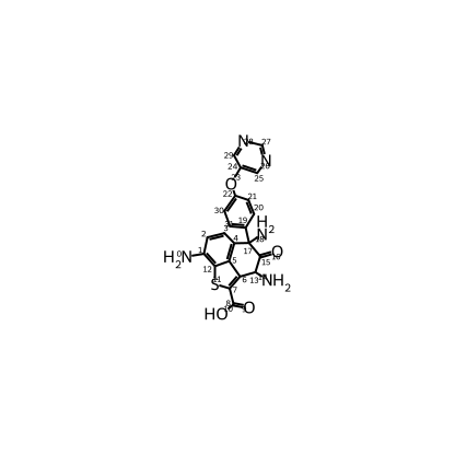 Nc1ccc2c3c(c(C(=O)O)sc13)C(N)C(=O)C2(N)c1ccc(Oc2cncnc2)cc1